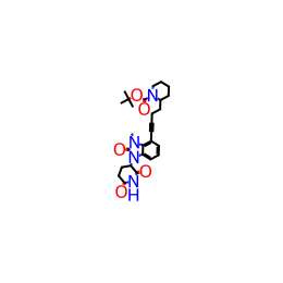 Cn1c(=O)n(C2CCC(=O)NC2=O)c2cccc(C#CCCC3CCCCN3C(=O)OC(C)(C)C)c21